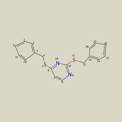 c1ccc(CSc2ccnc(SCc3ccccc3)n2)cc1